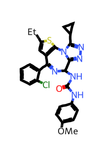 CCc1cc2c(s1)-n1c(C3CC3)nnc1C(NC(=O)Nc1ccc(OC)cc1)N=C2c1ccccc1Cl